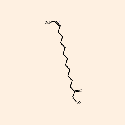 CCCCCCCC/C=C\CCCCCCCCCCCC(=O)ON=O